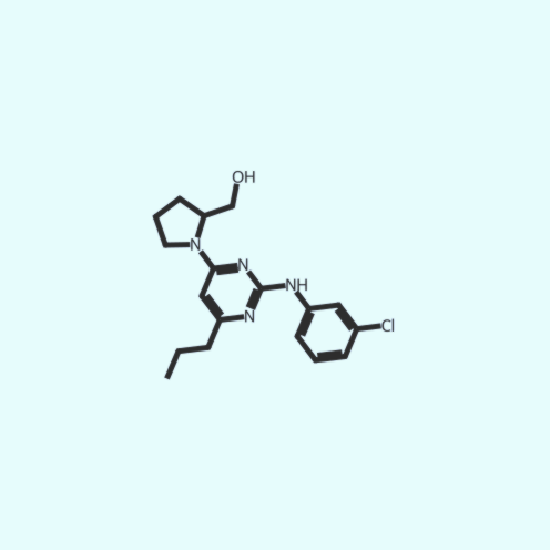 CCCc1cc(N2CCCC2CO)nc(Nc2cccc(Cl)c2)n1